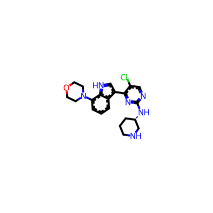 Clc1cnc(N[C@H]2CCCNC2)nc1-c1c[nH]c2c(N3CCOCC3)cccc12